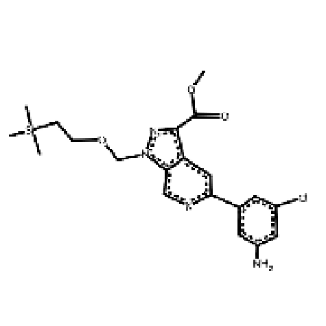 COC(=O)c1nn(COCC[Si](C)(C)C)c2cnc(-c3cc(N)cc(Cl)c3)cc12